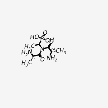 CC(N(C(=O)[C@H](C)N)C(=O)[C@H](C)N)P(=O)(O)O